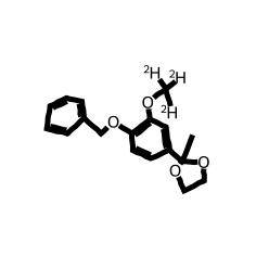 [2H]C([2H])([2H])Oc1cc(C2(C)OCCO2)ccc1OCc1ccccc1